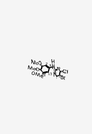 COc1cc(Nc2ncc(Br)c(Cl)n2)cc(OC)c1OC